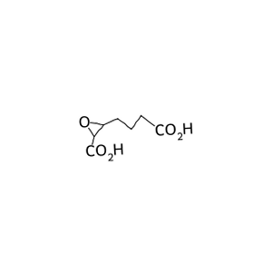 O=C(O)CCCC1OC1C(=O)O